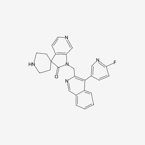 O=C1N(Cc2ncc3ccccc3c2-c2ccc(F)nc2)c2cnccc2C12CCNCC2